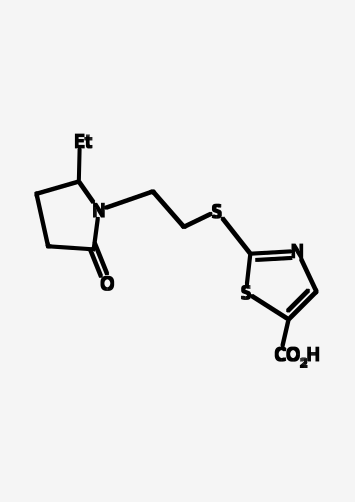 CCC1CCC(=O)N1CCSc1ncc(C(=O)O)s1